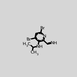 CC(C)Nc1c(Br)cc(Br)nc1C=N